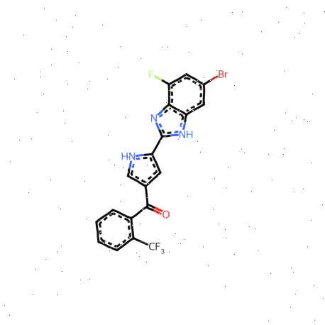 O=C(c1c[nH]c(-c2nc3c(F)cc(Br)cc3[nH]2)c1)c1ccccc1C(F)(F)F